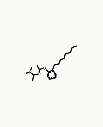 CCCCCCCCc1ccccc1OC(C)OC(C)N(C)C